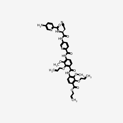 C=CCOC(=O)c1ccc(NC(=O)c2ccc(NC(=O)c3ccc(NC(=O)[C@H](CC#N)NC(=O)c4ccc(N)cn4)cn3)c(OC)c2OCC=C)c(OC)c1OCC=C